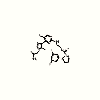 Cc1c(-c2nc(NCCNC(=O)N3N=CC[C@H]3c3cc(F)cc(F)c3)ncc2F)nnn1CC(N)=O